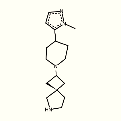 Cn1nccc1C1CCN([C@H]2C[C@]3(CCNC3)C2)CC1